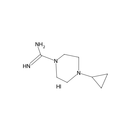 I.N=C(N)N1CCN(C2CC2)CC1